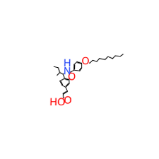 CCCCCCCCCCOc1ccc(C(=O)NC(c2ccc(C=CC(=O)O)cc2)C(C)CC)cc1